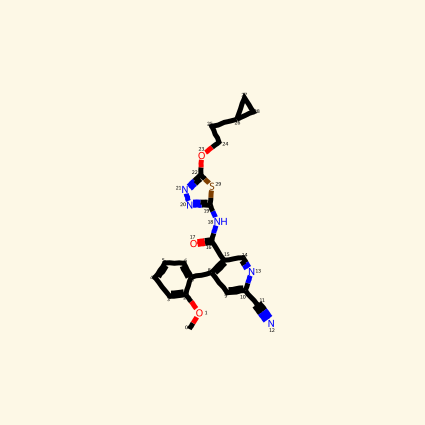 COc1ccccc1-c1cc(C#N)ncc1C(=O)Nc1nnc(OCCC2CC2)s1